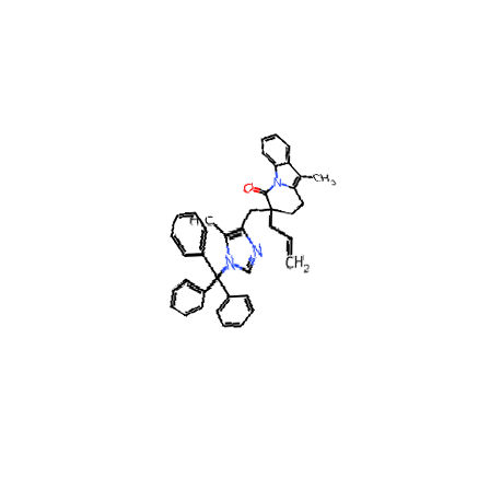 C=CCC1(Cc2ncn(C(c3ccccc3)(c3ccccc3)c3ccccc3)c2C)CCc2c(C)c3ccccc3n2C1=O